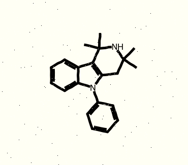 CC1(C)Cc2c(c3ccccc3n2-c2ccccc2)C(C)(C)N1